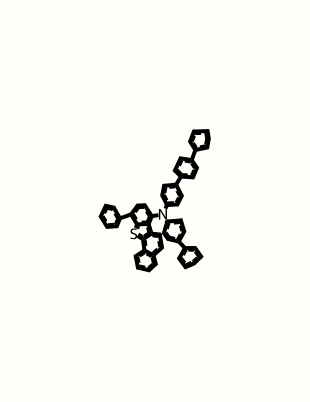 c1ccc(-c2ccc(-c3ccc(N(c4ccc(-c5ccccc5)cc4)c4ccc(-c5ccccc5)c5sc6c7ccccc7ccc6c45)cc3)cc2)cc1